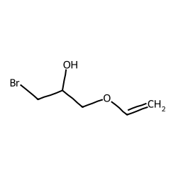 C=COCC(O)CBr